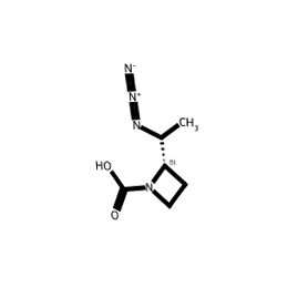 CC(N=[N+]=[N-])[C@@H]1CCN1C(=O)O